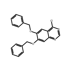 Clc1ncnc2cc(OCc3ccccc3)c(OCc3ccccc3)cc12